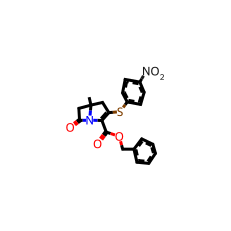 CC12CC(=O)N1C(C(=O)OCc1ccccc1)=C(Sc1ccc([N+](=O)[O-])cc1)C2